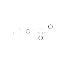 CCOC(Cc1ccc(OCCN(CCCOc2cc(Cl)cc(Cl)c2)C(=O)Nc2cccc(F)c2)cc1)C(=O)O